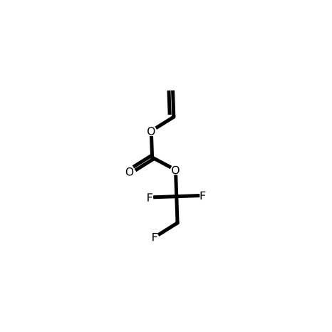 C=COC(=O)OC(F)(F)CF